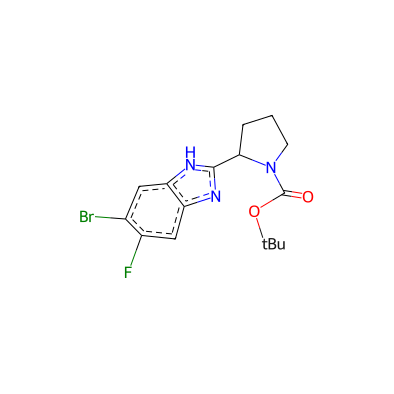 CC(C)(C)OC(=O)N1CCCC1c1nc2cc(F)c(Br)cc2[nH]1